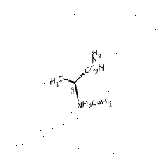 C[C@H](N)C(=O)O.N.[CaH2]